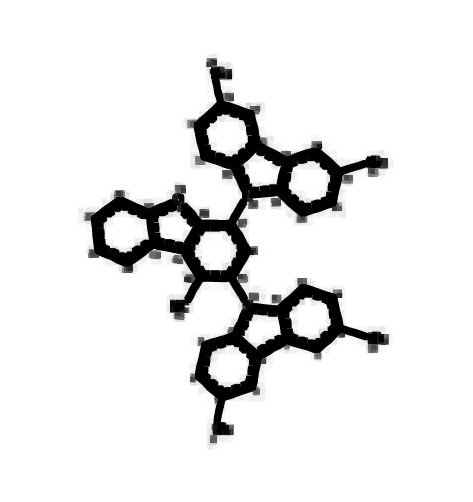 CC(C)(C)c1ccc2c(c1)c1cc(C(C)(C)C)ccc1n2-c1cc(-n2c3ccc(C(C)(C)C)cc3c3cc(C(C)(C)C)ccc32)c2oc3ccccc3c2c1C#N